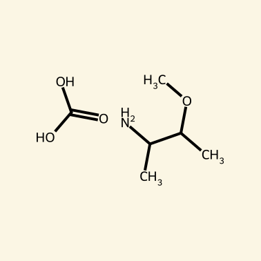 COC(C)C(C)N.O=C(O)O